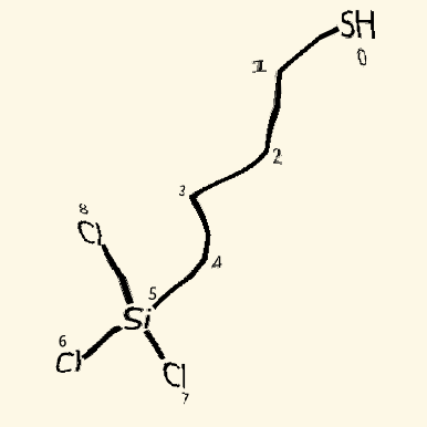 SCCCC[Si](Cl)(Cl)Cl